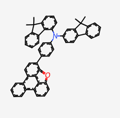 CC1(C)c2ccccc2-c2ccc(N(c3ccc(-c4ccc5c6ccccc6c6cccc7oc4c5c76)cc3)c3cccc4c3-c3ccccc3C4(C)C)cc21